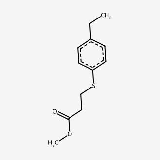 CCc1ccc(SCCC(=O)OC)cc1